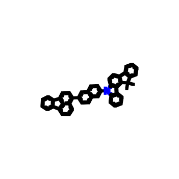 CC1(C)c2ccccc2-c2ccc3c(c21)c1ccccc1n3-c1ccc2cc(-c3ccc4c5c(cccc35)-c3ccccc3-4)ccc2c1